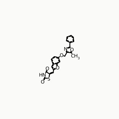 Cc1oc(-c2ccccc2)nc1COc1ccc2cc(C=C3SC(=O)NC3=O)oc2c1